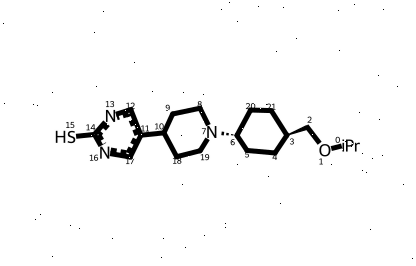 CC(C)OC[C@H]1CC[C@H](N2CCC(c3cnc(S)nc3)CC2)CC1